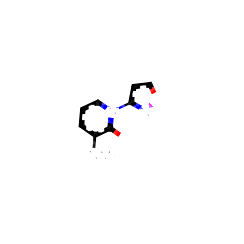 CNc1cccn(-c2ccon2)c1=O